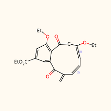 C=C1/C=C\C=C(\OCC)CC(=O)c2c(OCC)cc(C(=O)OCC)cc2C1=O